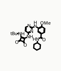 COc1ccc(C(=O)NC2CCCCC2)cc1Nc1nccc(Nc2c(NC(C)(C)C)c(=O)c2=O)n1